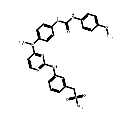 CN(c1ccc(NC(=O)Nc2ccc(OC(F)(F)F)cc2)cc1)c1ccnc(Nc2cccc(CS(N)(=O)=O)c2)n1